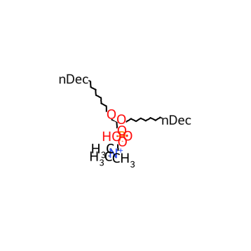 CCCCCCCCCCCCCCCCCCOC[C@H](COP(=O)(O)OCC[N+](C)(C)C)OCCCCCCCCCCCCCCCCCC